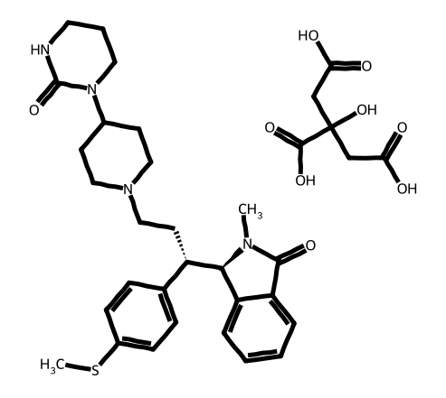 CSc1ccc([C@H](CCN2CCC(N3CCCNC3=O)CC2)[C@@H]2c3ccccc3C(=O)N2C)cc1.O=C(O)CC(O)(CC(=O)O)C(=O)O